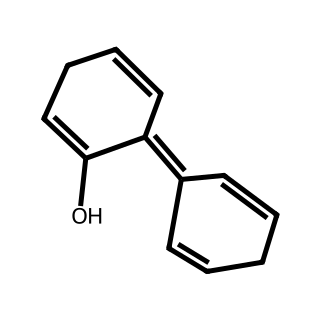 OC1=CCC=CC1=C1C=CCC=C1